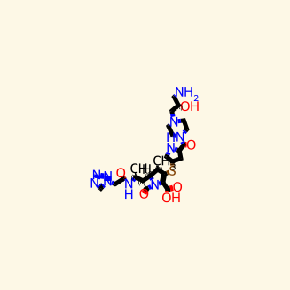 C[C@@H](NC(=O)Cn1cnnn1)[C@H]1C(=O)N2C(C(=O)O)=C(SC3CNC(C(=O)N4CCN(C[C@H](O)CN)CC4)C3)[C@H](C)[C@@H]12